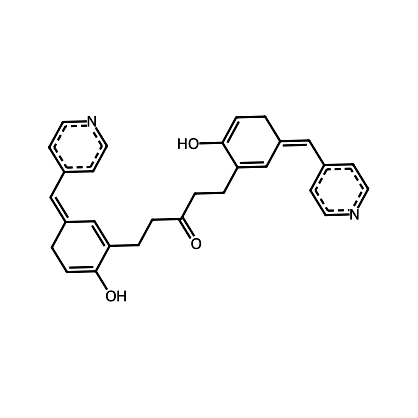 O=C(CCC1=CC(=Cc2ccncc2)CC=C1O)CCC1=CC(=Cc2ccncc2)CC=C1O